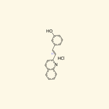 Cl.Oc1cccc(/C=C/c2ccc3ccccc3n2)c1